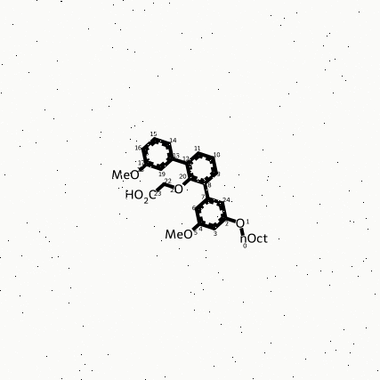 CCCCCCCCOc1cc(OC)cc(-c2cccc(-c3cccc(OC)c3)c2OCC(=O)O)c1